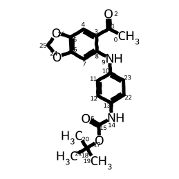 CC(=O)c1cc2c(cc1Nc1ccc(NC(=O)OC(C)(C)C)cc1)OCO2